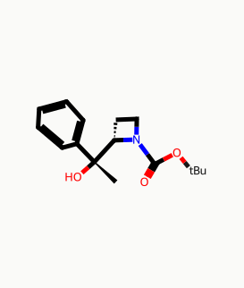 CC(C)(C)OC(=O)N1CC[C@H]1[C@](C)(O)c1ccccc1